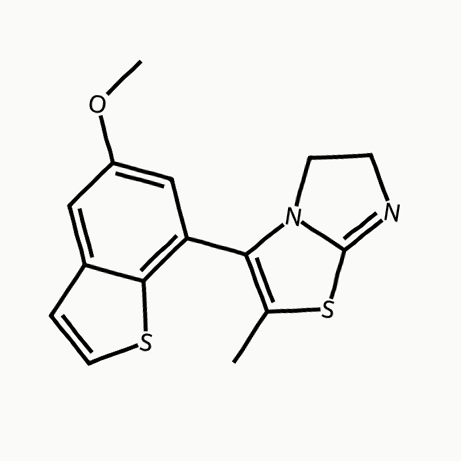 COc1cc(C2=C(C)SC3=NCCN32)c2sccc2c1